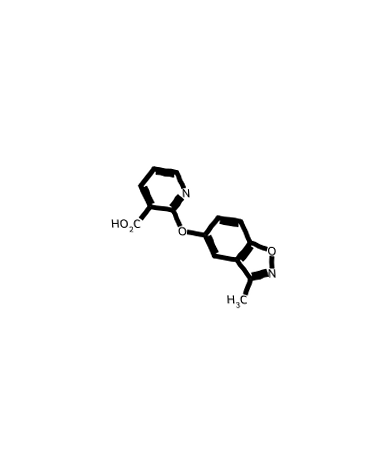 Cc1noc2ccc(Oc3ncccc3C(=O)O)cc12